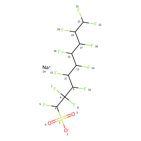 O=S(=O)([O-])C(F)C(F)(F)C(F)C(F)C(F)C(F)C(F)C(F)C(F)F.[Na+]